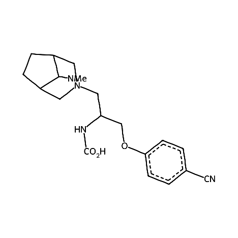 CNC1C2CCC1CN(CC(COc1ccc(C#N)cc1)NC(=O)O)C2